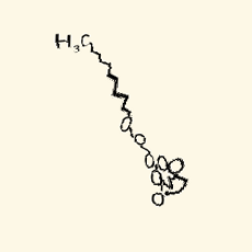 CCCCCCCCCCCCOCCOCCOC(=O)ON1C(=O)CCC1=O